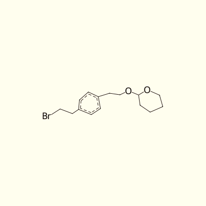 BrCCc1ccc(CCOC2CCCCO2)cc1